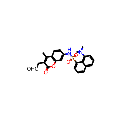 Cc1c(CC=O)c(=O)oc2cc(NS(=O)(=O)c3cccc4cccc(N(C)C)c34)ccc12